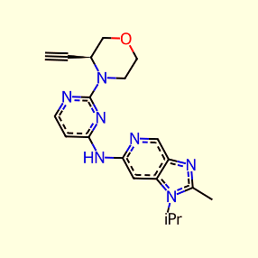 C#C[C@H]1COCCN1c1nccc(Nc2cc3c(cn2)nc(C)n3C(C)C)n1